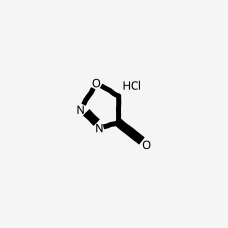 Cl.O=C1CON=N1